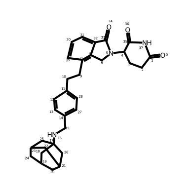 O=C1CCC(N2Cc3c(CCc4ccc(CNC56CC7CC(CC(C7)C5)C6)cc4)cccc3C2=O)C(=O)N1